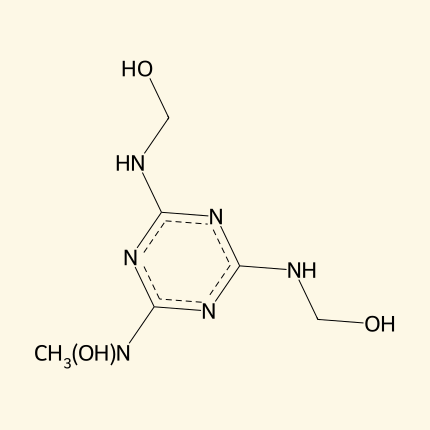 CN(O)c1nc(NCO)nc(NCO)n1